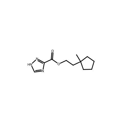 CC1(CCOC(=O)c2nc[nH]n2)CCCC1